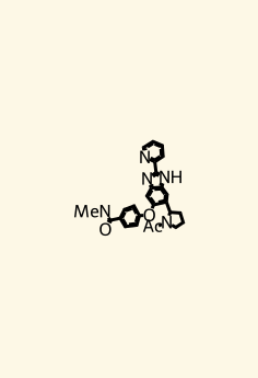 CNC(=O)c1ccc(Oc2cc3nc(-c4ccccn4)[nH]c3cc2C2CCCN2C(C)=O)cc1